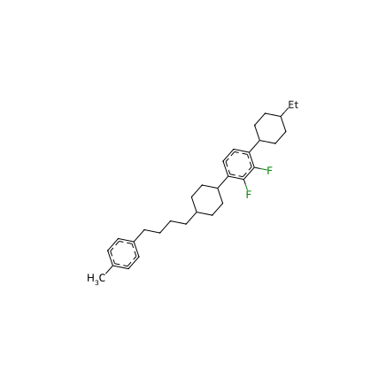 CCC1CCC(c2ccc(C3CCC(CCCCc4ccc(C)cc4)CC3)c(F)c2F)CC1